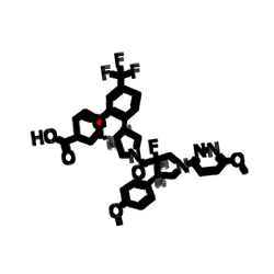 COC[C@H]1CN(C(=O)[C@]2(F)CN(c3ccc(OC)nn3)C[C@H]2c2ccc(OC)cc2)C[C@@H]1c1ccc(C(F)(F)F)cc1N1CCC(C(=O)O)CC1